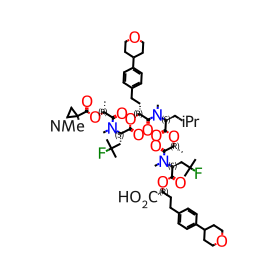 CNC1(C(=O)O[C@H](C)C(=O)N(C)[C@@H](CC(C)(C)F)C(=O)O[C@H](CCc2ccc(C3CCOCC3)cc2)C(=O)N(C)[C@@H](CC(C)C)C(=O)O[C@H](C)C(=O)N(C)[C@@H](CC(C)(C)F)C(=O)O[C@H](CCc2ccc(C3CCOCC3)cc2)C(=O)O)CC1